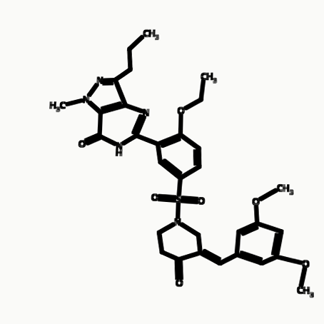 CCCc1nn(C)c2c(=O)[nH]c(-c3cc(S(=O)(=O)N4CCC(=O)/C(=C/c5cc(OC)cc(OC)c5)C4)ccc3OCC)nc12